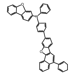 C1=CC(c2cc3c4ccc(-c5ccc(N(c6ccccc6)c6ccc7c(c6)oc6ccccc67)cc5)cc4oc3c3ccccc23)=CCC1